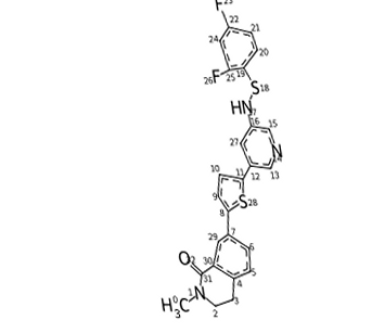 CN1CCc2ccc(-c3ccc(-c4cncc(NSc5ccc(F)cc5F)c4)s3)cc2C1=O